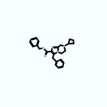 O=C(OCc1ccccc1)c1nc2n(c1Cc1ccccc1)CCN(C1CCC1)C2